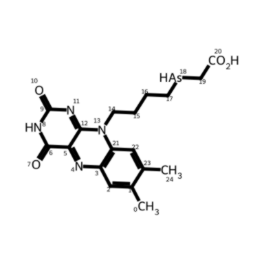 Cc1cc2nc3c(=O)[nH]c(=O)nc-3n(CCCC[AsH]CC(=O)O)c2cc1C